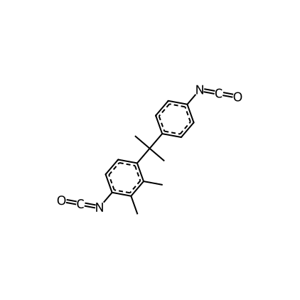 Cc1c(N=C=O)ccc(C(C)(C)c2ccc(N=C=O)cc2)c1C